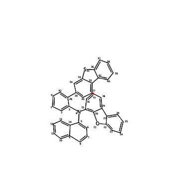 c1ccc(N(c2cccc3ccccc23)c2cccc3c2oc2ccccc23)c(-c2ccc3c(c2)sc2ccccc23)c1